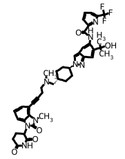 CN(CCC#Cc1cccc2c1n(C)c(=O)n2C1CCC(=O)NC1=O)C[C@H]1CC[C@H](n2cc3cc(NC(=O)c4cccc(C(F)(F)F)n4)c(C(C)(C)O)cc3n2)CC1